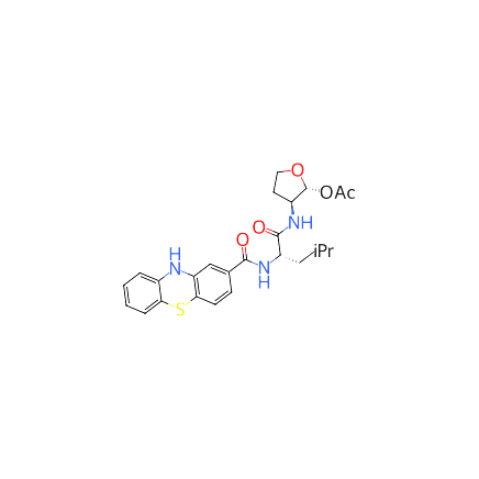 CC(=O)O[C@H]1OCC[C@@H]1NC(=O)[C@H](CC(C)C)NC(=O)c1ccc2c(c1)Nc1ccccc1S2